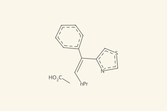 CC(=O)O.CCC/C=C(/c1ccccc1)c1cscn1